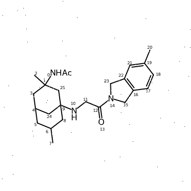 CC(=O)NC1(C)CC2CC(C)CC(NCC(=O)N3Cc4ccc(C)cc4C3)(C2)C1